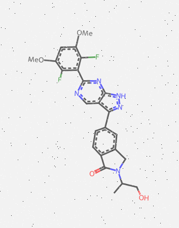 COc1cc(OC)c(F)c(-c2ncc3c(-c4ccc5c(c4)CN(C(C)CO)C5=O)n[nH]c3n2)c1F